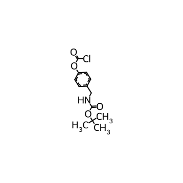 CC(C)(C)OC(=O)NCc1ccc(OC(=O)Cl)cc1